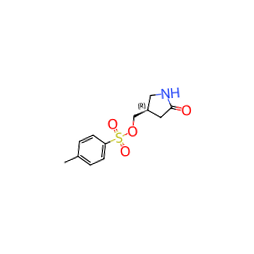 Cc1ccc(S(=O)(=O)OC[C@H]2CNC(=O)C2)cc1